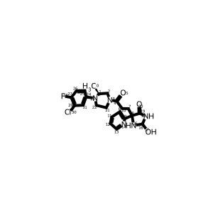 C[C@H]1CN(C(=O)CCC2(c3ccccn3)NC(O)NC2=O)CCN1c1ccc(F)c(Cl)c1